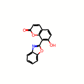 O=c1ccc2ccc(O)c(-c3nc4ccccc4o3)c2o1